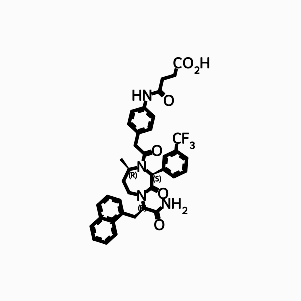 C[C@@H]1CCN([C@H](Cc2cccc3ccccc23)C(N)=O)C(=O)[C@H](c2cccc(C(F)(F)F)c2)N1C(=O)Cc1ccc(NC(=O)CCC(=O)O)cc1